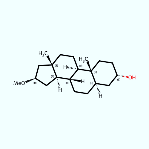 CO[C@@H]1C[C@@H]2[C@H]3CC[C@@H]4C[C@@H](O)CC[C@@]4(C)[C@@H]3CC[C@@]2(C)C1